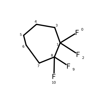 FC1(F)CCCCCC1(F)F